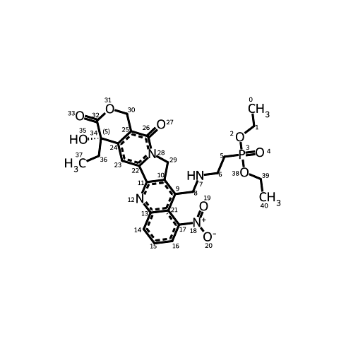 CCOP(=O)(CCNCc1c2c(nc3cccc([N+](=O)[O-])c13)-c1cc3c(c(=O)n1C2)COC(=O)[C@]3(O)CC)OCC